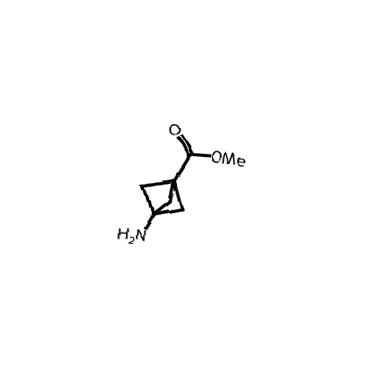 COC(=O)C12CC(N)(C1)C2